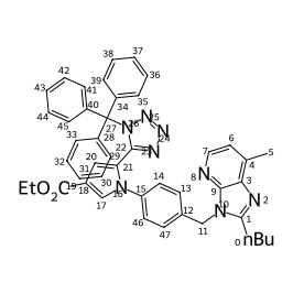 CCCCc1nc2c(C)ccnc2n1Cc1ccc(-n2cc(C(=O)OCC)cc2-c2nnnn2C(c2ccccc2)(c2ccccc2)c2ccccc2)cc1